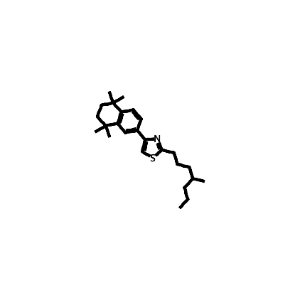 CCCC(C)CCCc1nc(-c2ccc3c(c2)C(C)(C)CCC3(C)C)cs1